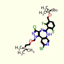 CC(C)(C)[Si](C)(C)OCc1ccc(F)c(C2=Nc3c(Cl)nn(COCC[Si](C)(C)C)c3-c3cc(Br)ncc3N2)c1F